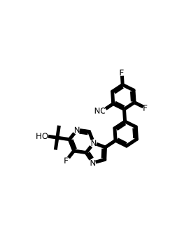 CC(C)(O)c1ncn2c(-c3cccc(-c4c(F)cc(F)cc4C#N)c3)cnc2c1F